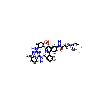 CC(C)C1=C2N=C(NC3CCC(O)CC3)N=C(NCc3ccccc3-c3nccc4cc(NC(=O)/C=C/CN(C)C)ccc34)N2CC=C1